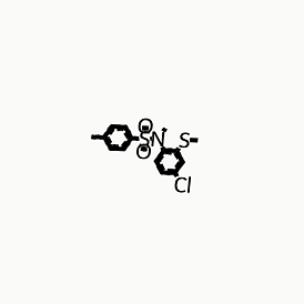 CSc1cc(Cl)ccc1N(C)S(=O)(=O)c1ccc(C)cc1